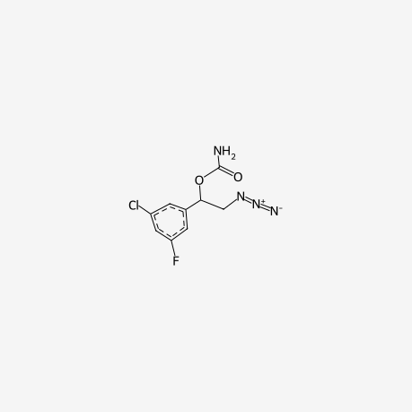 [N-]=[N+]=NCC(OC(N)=O)c1cc(F)cc(Cl)c1